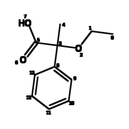 CCOC(C)(C(=O)O)c1ccccc1